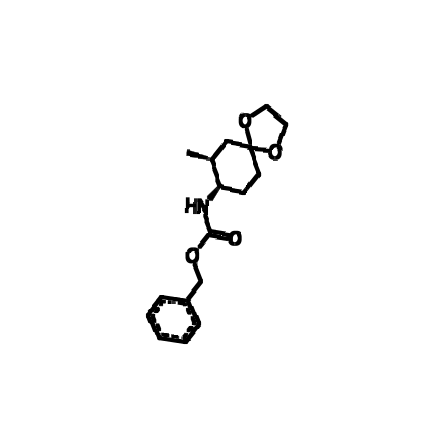 C[C@H]1CC2(CC[C@H]1NC(=O)OCc1ccccc1)OCCO2